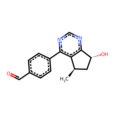 C[C@@H]1C[C@@H](O)c2ncnc(-c3ccc(C=O)cc3)c21